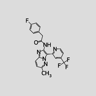 Cc1ccc2nc(NC(=O)Cc3ccc(F)cc3)c(-c3cc(C(F)(F)F)ccn3)n2n1